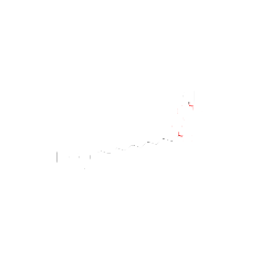 O=C(O)CCCCCCCCCCC(=O)OCOC(=O)C(F)(F)F